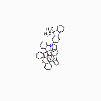 CC1(C)c2ccccc2-c2ccc(N(c3ccc4c(c3)C3(c5ccccc5Sc5ccccc53)c3ccccc3-4)c3ccccc3C3(c4ccccc4)c4ccccc4-c4ccccc43)cc21